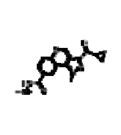 CNNC(=O)c1ccc2ncc3c(C(=O)C4CC4)nn(C)c3c2c1